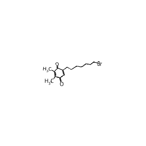 CC1=C(C)C(=O)C(CCCCCCCBr)=CC1=O